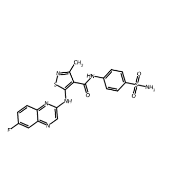 Cc1nsc(Nc2cnc3cc(F)ccc3n2)c1C(=O)Nc1ccc(S(N)(=O)=O)cc1